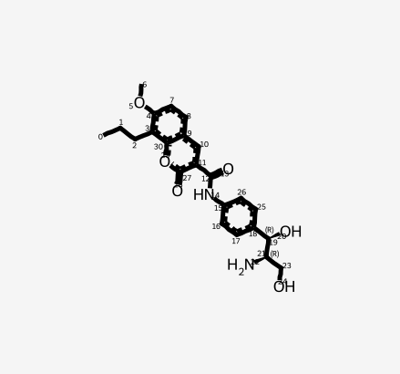 CCCc1c(OC)ccc2cc(C(=O)Nc3ccc([C@@H](O)[C@H](N)CO)cc3)c(=O)oc12